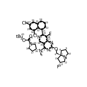 CN(c1nc(OC[C@@]23CCCN2C[C@H](F)C3)nc2c(F)c(-c3cccc4cc(Cl)cc(Cl)c34)ncc12)[C@@H]1CCN(C(=O)OC(C)(C)C)C1